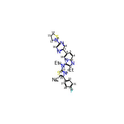 CCc1nc2ccc(-c3cnc(N4CCCS4)cn3)cn2c1N(CC)c1nc(-c2ccc(F)cc2)c(C#N)s1